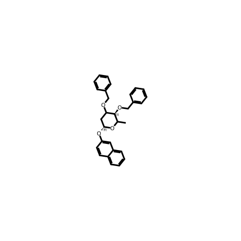 CC1O[C@H](Oc2ccc3ccccc3c2)CC(OCc2ccccc2)[C@H]1OCc1ccccc1